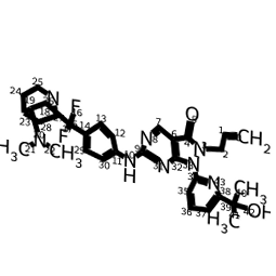 C=CCn1c(=O)c2cnc(Nc3ccc(C(F)(F)C4C(N(C)C)C5CCN4CC5)cc3)nc2n1-c1cccc(C(C)(C)O)n1